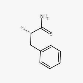 C[C@@H](Cc1ccccc1)C(N)=S